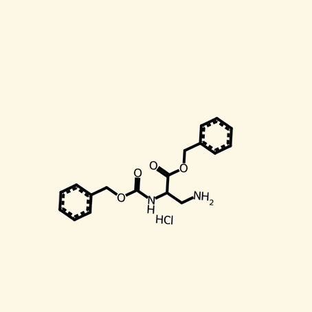 Cl.NCC(NC(=O)OCc1ccccc1)C(=O)OCc1ccccc1